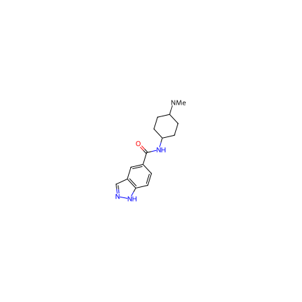 CNC1CCC(NC(=O)c2ccc3[nH]ncc3c2)CC1